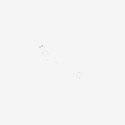 O=C(CCCC1CCN(c2ccc(C(F)(F)F)cc2)CC1)N1CCC(Nc2ccc([N+](=O)[O-])c(C(F)(F)F)c2)CC1